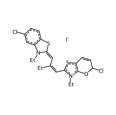 CCC(=Cc1sc2c([n+]1CC)OC(Cl)C=C2)C=C1Sc2ccc(Cl)cc2N1CC.[I-]